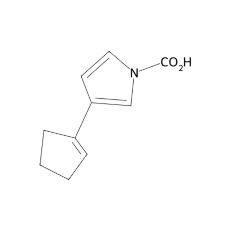 O=C(O)n1ccc(C2=CCCC2)c1